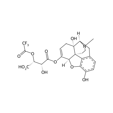 CN1CC[C@]23c4c5ccc(O)c4O[C@H]2C(OC(=O)[C@H](O)[C@@H](OC(=O)C(F)(F)F)C(=O)O)=CC[C@@]3(O)[C@H]1C5